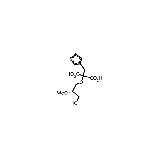 CO[C@@H](CO)COC(Cc1ccsc1)(C(=O)O)C(=O)O